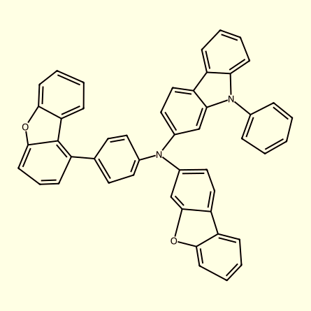 c1ccc(-n2c3ccccc3c3ccc(N(c4ccc(-c5cccc6oc7ccccc7c56)cc4)c4ccc5c(c4)oc4ccccc45)cc32)cc1